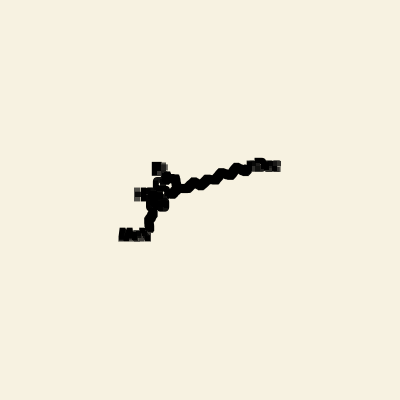 CCCCCCCCCCCCCCCCCCCC(COP(=O)(O)OCCCNC)CC(=O)CC